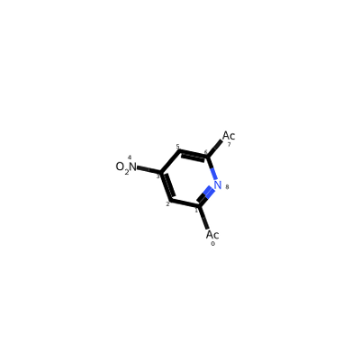 CC(=O)c1cc([N+](=O)[O-])cc(C(C)=O)n1